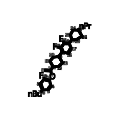 C=C(Oc1ccc(CCCC)cc1F)C1CCC(c2ccc(C3CCC(CCC)CC3)c(F)c2F)CC1